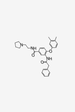 Cc1ccc(Oc2ccc(C(=O)NCCN3CCCC3)cc2NC(=O)Cc2ccccc2)cc1C